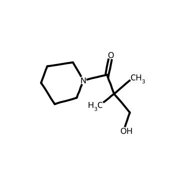 CC(C)(CO)C(=O)N1CCCCC1